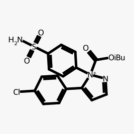 CC(C)COC(=O)[N+]1(c2ccc(S(N)(=O)=O)cc2)N=CC=C1c1ccc(Cl)cc1